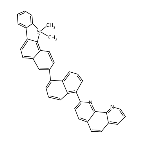 C[Si]1(C)c2ccccc2-c2ccc3cc(-c4cccc5c(-c6ccc7ccc8cccnc8c7n6)cccc45)ccc3c21